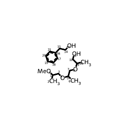 COC(C)COC(C)COC(C)CO.OCCc1ccccc1